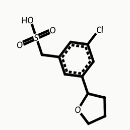 O=S(=O)(O)Cc1cc(Cl)cc(C2CCCO2)c1